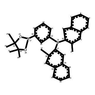 Cc1cc2ccccc2cc1B(c1cccc(B2OC(C)(C)C(C)(C)O2)c1)c1cc2ccccc2cc1C